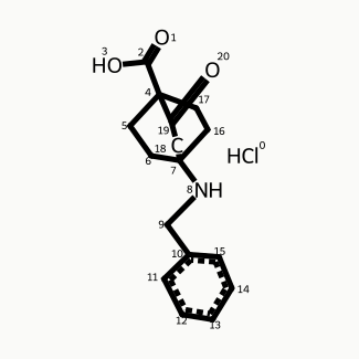 Cl.O=C(O)C12CCC(NCc3ccccc3)(CC1)CC2=O